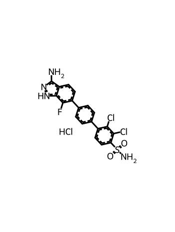 Cl.Nc1n[nH]c2c(F)c(-c3ccc(-c4ccc(S(N)(=O)=O)c(Cl)c4Cl)cc3)ccc12